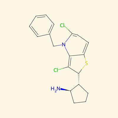 N[C@@H]1CCC[C@H]1C1SC2=CC=C(Cl)N(Cc3ccccc3)C2=C1Cl